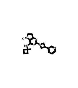 CC1(Nc2nc(N3CC(c4cccnc4)C3)nc3c2[S+]([O-])CC3)CCC1